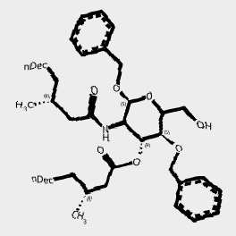 CCCCCCCCCCC[C@@H](C)CC(=O)NC1[C@@H](OCc2ccccc2)OC(CO)[C@@H](OCc2ccccc2)[C@@H]1OC(=O)C[C@H](C)CCCCCCCCCCC